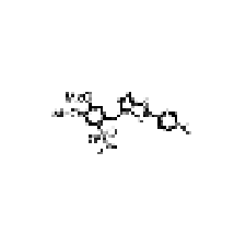 COc1cc(Cc2nnc3sc(-c4ccc(Cl)cc4)nn23)c(S(=O)(=O)N(C)C)cc1OC